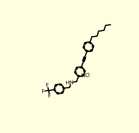 CCCCCCc1ccc(C#Cc2ccc(CNCc3ccc(C(F)(F)F)cc3)cc2)cc1.Cl